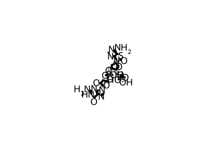 Nc1nc2c(ncn2[C@@H]2O[C@H](OP(=O)(O)O[C@H]3C[C@H](n4c(=O)sc5c(N)ncnc54)O[C@@H]3COP(=O)(O)O)CC2=O)c(=O)[nH]1